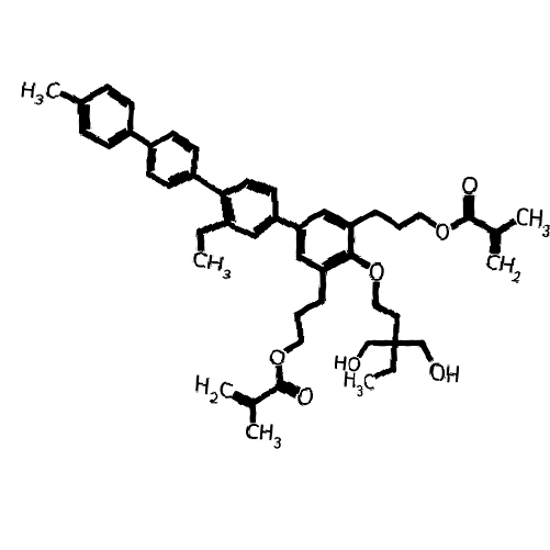 C=C(C)C(=O)OCCCc1cc(-c2ccc(-c3ccc(-c4ccc(C)cc4)cc3)c(CC)c2)cc(CCCOC(=O)C(=C)C)c1OCCC(CC)(CO)CO